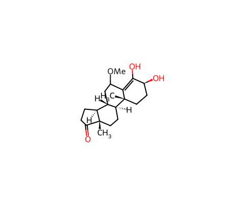 COC1C[C@@H]2[C@H](CC[C@]3(C)C(=O)CC[C@@H]23)[C@@]2(C)CC[C@H](O)C(O)=C12